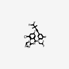 CC(C)(C#Cc1cc(F)cc(N(CC(F)F)c2nc3nncn3c3c(Cl)cc(F)cc23)c1)C(F)F